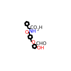 O=Cc1c(O)cccc1OCc1ccc(C(=O)N[C@@H](Cc2ccccc2)C(=O)O)cc1